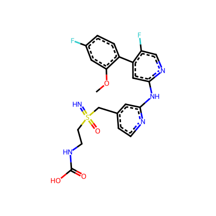 COc1cc(F)ccc1-c1cc(Nc2cc(CS(=N)(=O)CCNC(=O)O)ccn2)ncc1F